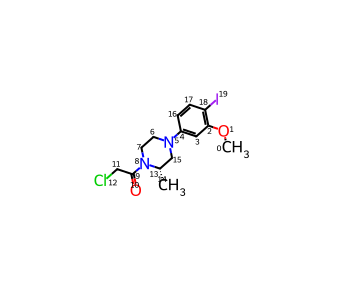 COc1cc(N2CCN(C(=O)CCl)[C@@H](C)C2)ccc1I